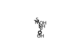 Cc1nc(C(O)CNCC(C)c2ccc(O)cc2)cs1